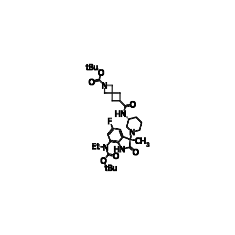 CCN(C(=O)OC(C)(C)C)c1cc(F)cc2c1NC(=O)C2(C)N1CCC[C@@H](NC(=O)C2CC3(C2)CN(C(=O)OC(C)(C)C)C3)C1